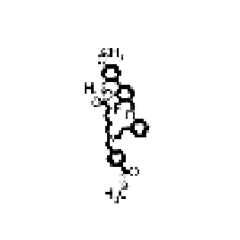 CCOC(=O)c1ccc(CN(CCCCC(=O)OC)CCc2ccccc2OCc2ccc(-c3ccc(OC)cc3)cc2F)cc1